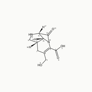 O=C(O)C1=C(CO)C[C@@H]2CN[C@@H]3C(=O)N1[C@H]23